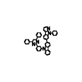 c1ccc(-c2cc(-c3ccccc3)nc(-c3cccc(-n4c5ccccc5c5ccc(-c6ccc7c8cccnc8n(-c8ccccc8)c7c6)cc54)c3)n2)cc1